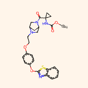 CC(C)(C)OC(=O)NC1(C(=O)N2CC3CC2CN3CCOc2ccc(Oc3nc4ccccc4s3)cc2)CC1